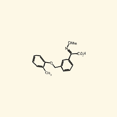 CON=C(C(=O)O)c1cccc(COc2ccccc2C)c1